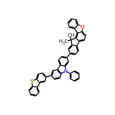 CC1(C)c2cc(-c3ccc4c5cc(-c6ccc7sc8ccccc8c7c6)ccc5n(-c5ccccc5)c4c3)ccc2-c2ccc3oc4ccccc4c3c21